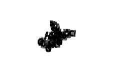 CN1CCc2nc(C(=O)NC3CN(C(=O)C4CCOCC4)CCC3NC(=O)c3cc4cc(Cl)ccc4[nH]3)sc2C1.Cl